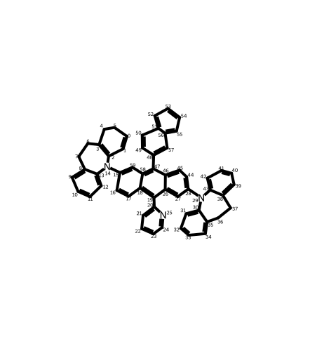 C1=CC2=C(CC1)CCc1ccccc1N2c1ccc2c(-c3ccccn3)c3cc(N4c5ccccc5CCc5ccccc54)ccc3c(-c3ccc4ccccc4c3)c2c1